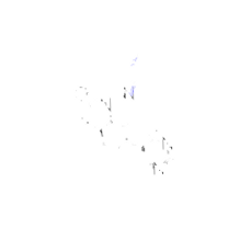 C\C=C/C=N\C(=C/C)N1C(=O)C(C)(C)c2ccc(-c3cnc(C)nc3)cc21